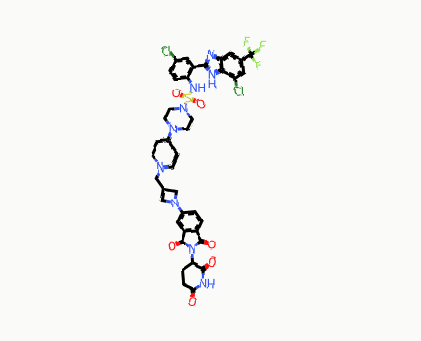 O=C1CCC(N2C(=O)c3ccc(N4CC(CN5CCC(N6CCN(S(=O)(=O)Nc7ccc(Cl)cc7-c7nc8cc(C(F)(F)F)cc(Cl)c8[nH]7)CC6)CC5)C4)cc3C2=O)C(=O)N1